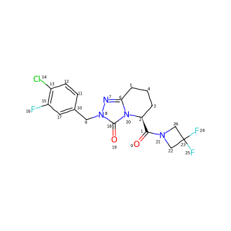 O=C([C@@H]1CCCc2nn(Cc3ccc(Cl)c(F)c3)c(=O)n21)N1CC(F)(F)C1